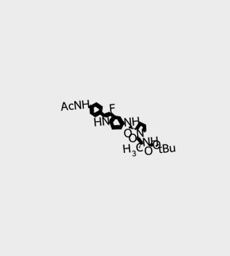 CC(=O)Nc1ccc(-c2[nH]c3ccc(NC(=O)[C@@H]4CCCN4C(=O)[C@@H](C)NC(=O)OC(C)(C)C)cc3c2F)cc1